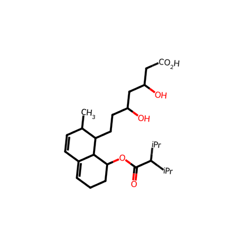 CC(C)C(C(=O)OC1CCC=C2C=CC(C)C(CCC(O)CC(O)CC(=O)O)C21)C(C)C